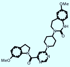 COc1ccc2c(c1)CCN(C1CCN(c3cc(C(=O)N4CCc5ccc(OC)cc54)ncn3)CC1)C(=O)N2